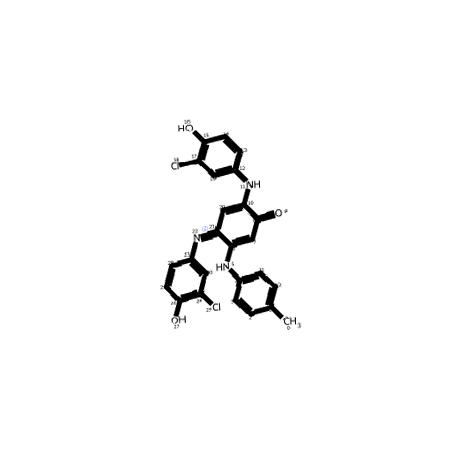 Cc1ccc(NC2=CC(=O)C(Nc3ccc(O)c(Cl)c3)=C/C2=N/c2ccc(O)c(Cl)c2)cc1